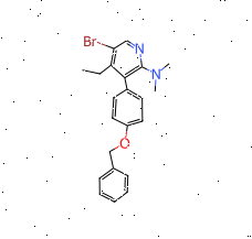 CCc1c(Br)cnc(N(C)C)c1-c1ccc(OCc2ccccc2)cc1